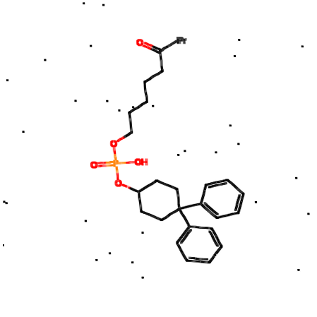 CC(C)C(=O)CCCCCOP(=O)(O)OC1CCC(c2ccccc2)(c2ccccc2)CC1